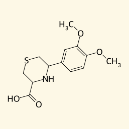 COc1ccc(C2CSCC(C(=O)O)N2)cc1OC